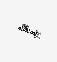 CCOC(Cc1ccc(OCCN(CCCOCc2ccccc2)C(=O)Oc2ccccc2OC(F)(F)F)cc1)C(=O)O